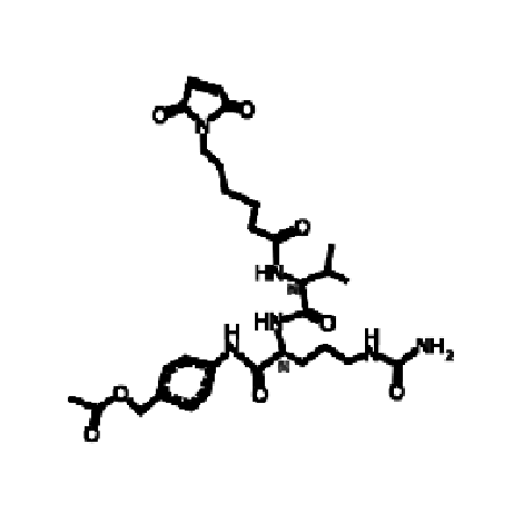 CC(=O)OCc1ccc(NC(=O)[C@H](CCCNC(N)=O)NC(=O)[C@@H](NC(=O)CCCCCN2C(=O)C=CC2=O)C(C)C)cc1